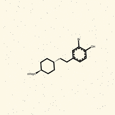 CCCCCCC[C@H]1CC[C@H](CCc2ccc(O)c(Br)c2)CC1